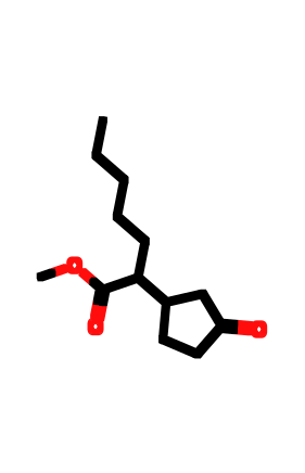 CCCCCC(C(=O)OC)C1CCC(=O)C1